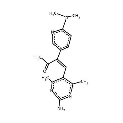 CC(=O)/C(=C\c1c(C)nc(N)nc1C)c1ccc(N(C)C)nc1